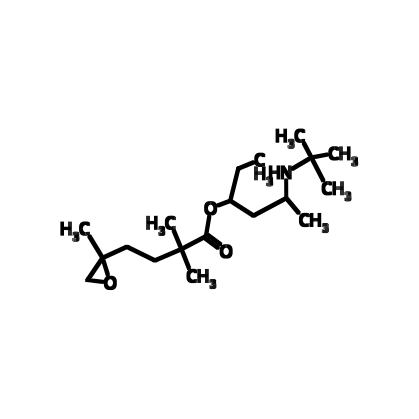 CCC(CC(C)NC(C)(C)C)OC(=O)C(C)(C)CCC1(C)CO1